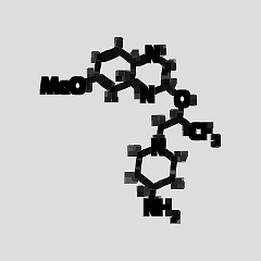 COc1ccc2ncc(OC(CN3CCC(N)CC3)C(F)(F)F)nc2c1